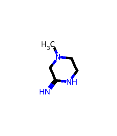 CN1CCNC(=N)C1